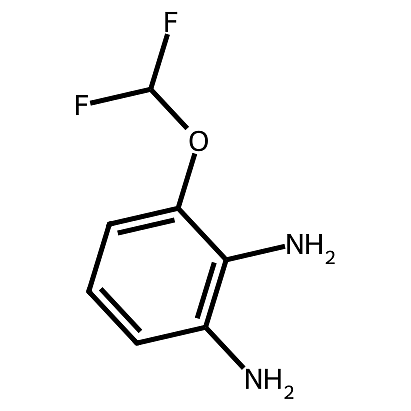 Nc1cccc(OC(F)F)c1N